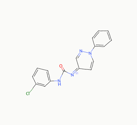 O=C(/N=c1/ccn(-c2ccccc2)nc1)Nc1cccc(Cl)c1